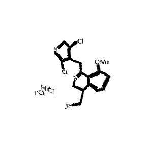 COc1cccc2c1C(Cc1c(Cl)cncc1Cl)=NCC2CC(C)C.Cl.Cl